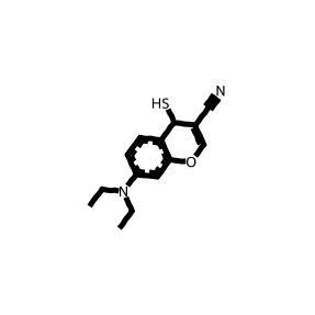 CCN(CC)c1ccc2c(c1)OC=C(C#N)C2S